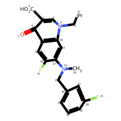 CC(C)Cn1cc(C(=O)O)c(=O)c2cc(F)c(N(C)Cc3cccc(F)c3)cc21